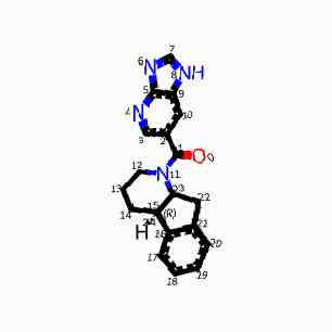 O=C(c1cnc2nc[nH]c2c1)N1CCC[C@@H]2c3ccccc3CC21